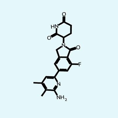 Cc1cc(-c2cc(F)c3c(c2)CN(C2CCC(=O)NC2=O)C3=O)nc(N)c1C